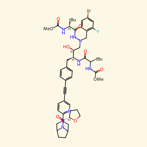 COC(=O)NC(C(=O)N[C@@H](Cc1ccc(C#Cc2ccc(N3CC4CCC(C3)N4C(=O)[C@@H]3CCCO3)nc2)cc1)[C@@H](O)CN(Cc1c(F)cc(Br)cc1F)NC(=O)[C@@H](NC(=O)OC)C(C)(C)C)C(C)(C)C